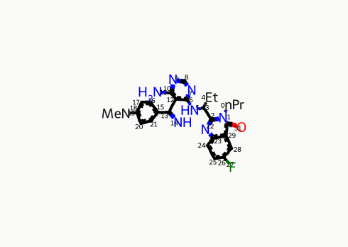 CCCn1c(C(CC)Nc2ncnc(N)c2C(=N)c2ccc(NC)cc2)nc2ccc(F)cc2c1=O